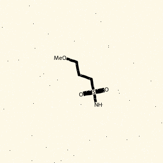 COCCCS([NH])(=O)=O